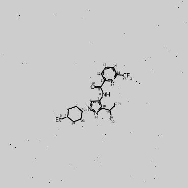 CC[C@H]1CC[C@H](n2cc(NC(=O)c3cccc(C(F)(F)F)n3)c(C(F)F)n2)CC1